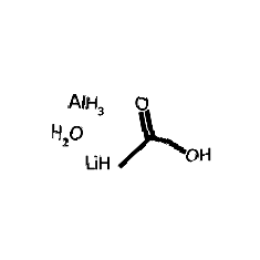 CC(=O)O.O.[AlH3].[LiH]